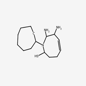 NC1/C=C\CCC(S)N(C2CCCCCCC2)C1N